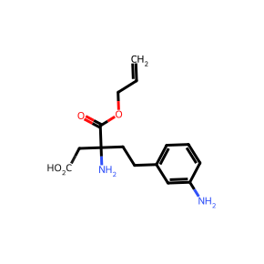 C=CCOC(=O)C(N)(CCc1cccc(N)c1)CC(=O)O